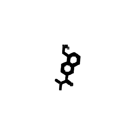 CN(C)C(=O)c1ccc2c(CN)cccc2c1